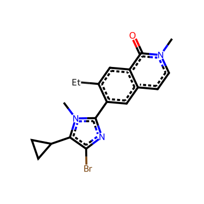 CCc1cc2c(=O)n(C)ccc2cc1-c1nc(Br)c(C2CC2)n1C